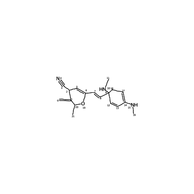 C=C1C(C#N)C=C(C=CC2(NC)C=CC(NC)=CC2)OC1C